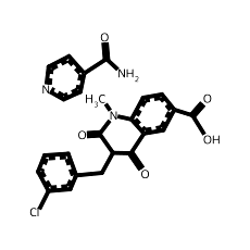 CN1C(=O)C(Cc2cccc(Cl)c2)C(=O)c2cc(C(=O)O)ccc21.NC(=O)c1ccncc1